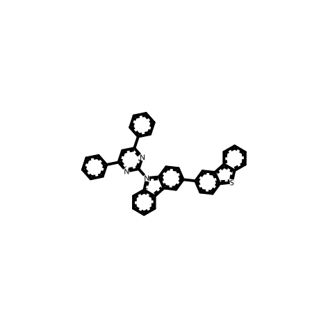 c1ccc(-c2cc(-c3ccccc3)nc(-n3c4ccccc4c4cc(-c5ccc6sc7ccccc7c6c5)ccc43)n2)cc1